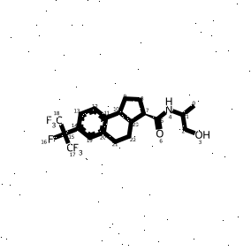 CC(CO)NC(=O)[C@@H]1CCC2c3ccc(C(F)(C(F)(F)F)C(F)(F)F)cc3CCC21